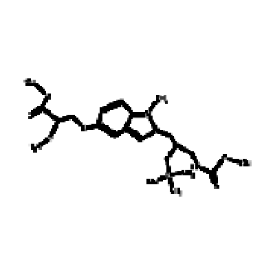 C[n+]1c2ccc(OCC(ON)C(=O)OC(C)(C)C)cc2cn1CC(CNC(=O)OC(C)(C)C)O[Si](C)(C)C(C)(C)C